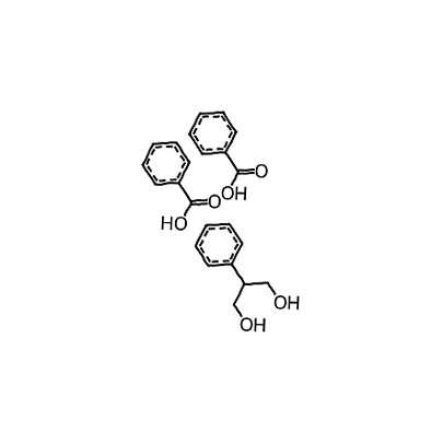 O=C(O)c1ccccc1.O=C(O)c1ccccc1.OCC(CO)c1ccccc1